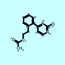 CC(=O)OCCc1ccccc1-c1ccnc(Cl)n1